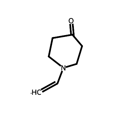 [CH]=CN1CCC(=O)CC1